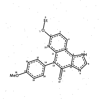 CCOc1ccc2c3[nH]cnc3c(=O)n(-c3ccc(OC)cc3)c2n1